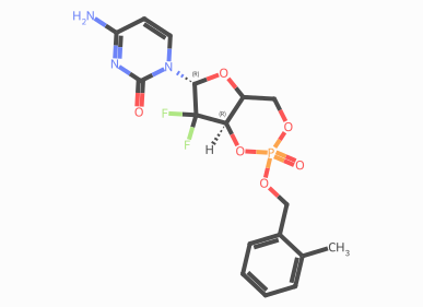 Cc1ccccc1COP1(=O)OCC2O[C@@H](n3ccc(N)nc3=O)C(F)(F)[C@@H]2O1